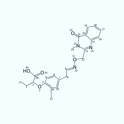 CCC(Oc1ccc(CC=NOCc2nc3ccccc3c(=O)n2C)cc1C)C(=O)O